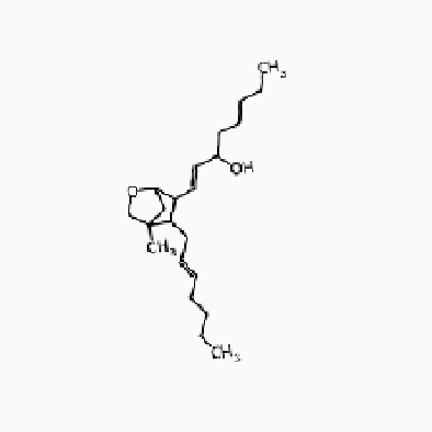 CCCCC=CCC1C(C=CC(O)CCCCC)C2CC1(C)CO2